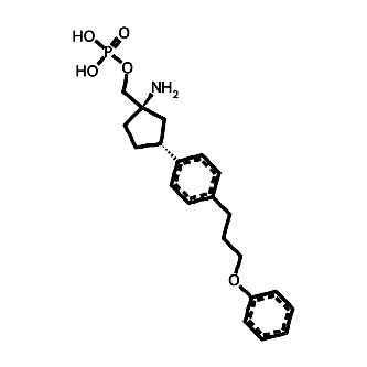 N[C@]1(COP(=O)(O)O)CC[C@@H](c2ccc(CCCOc3ccccc3)cc2)C1